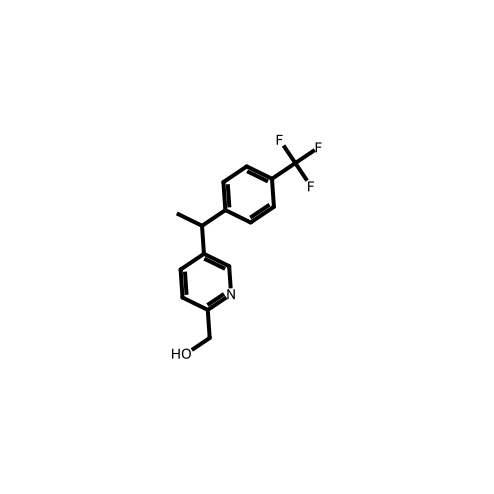 CC(c1ccc(C(F)(F)F)cc1)c1ccc(CO)nc1